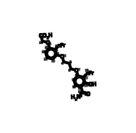 CCCc1c(OCCCOc2ccc(C(N)=O)c(O)c2CCC)cccc1OCC(=O)O